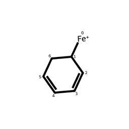 [Fe+][CH]1C=CC=CC1